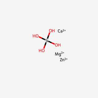 O[Si](O)(O)O.[Ca+2].[Mg+2].[Zn+2]